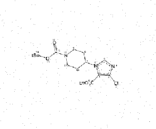 CCOC(=O)c1c(Cl)ncn1C1CCN(C(=O)OC(C)(C)C)CC1